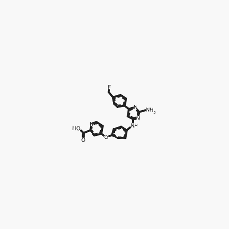 Nc1nc(Nc2ccc(Oc3ccnc(C(=O)O)c3)cc2)cc(-c2ccc(CF)cc2)n1